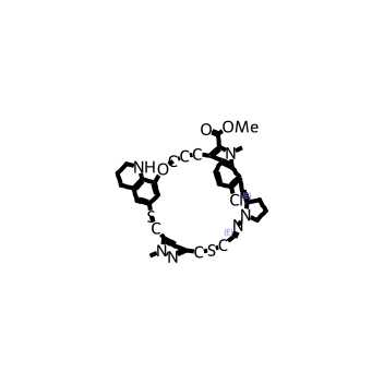 COC(=O)c1c2c3ccc(Cl)c(c3n1C)/C=C1\CCCN1/N=C/CSCc1cc(n(C)n1)CSc1cc3c(c(c1)OCCC2)NCCC3